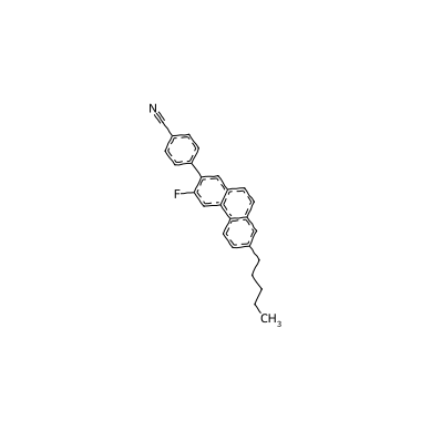 CCCCCc1ccc2c(ccc3cc(-c4ccc(C#N)cc4)c(F)cc32)c1